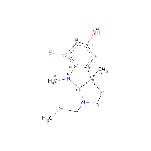 CCCN1CCC2(C)c3cc(O)cc(Br)c3N(C)C12